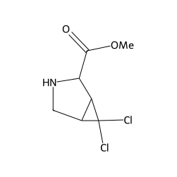 COC(=O)C1NCC2C1C2(Cl)Cl